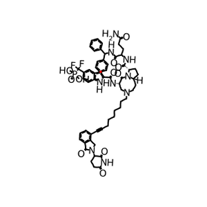 NC(=O)CCC(NC(=O)[C@@H]1CC[C@@H]2CCN(CCCCCCCC#Cc3cccc4c3CN(C3CCC(=O)NC3=O)C4=O)C[C@H](NC(=O)c3cc4cc(C(F)(F)P(=O)(O)O)ccc4[nH]3)C(=O)N21)C(=O)NC(c1ccccc1)c1ccccc1